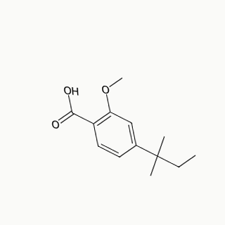 CCC(C)(C)c1ccc(C(=O)O)c(OC)c1